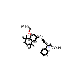 COCOc1cc([Se]C#C/C(=C/C(=O)O)c2ccccc2)cc2c1C(C)(C)CCC2(C)C